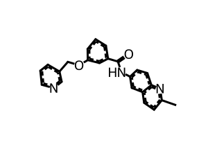 Cc1ccc2cc(NC(=O)c3cccc(OCc4cccnc4)c3)ccc2n1